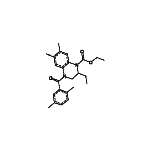 CCOC(=O)N1c2cc(C)c(C)cc2N(C(=O)c2cc(C)ccc2C)CC1CC